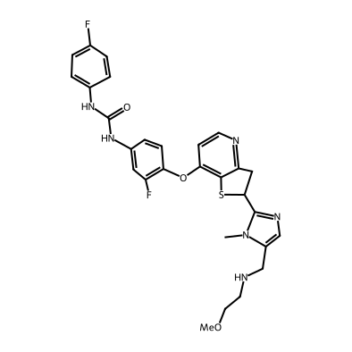 COCCNCc1cnc(C2Cc3nccc(Oc4ccc(NC(=O)Nc5ccc(F)cc5)cc4F)c3S2)n1C